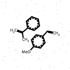 C=C(C)c1ccccc1.C=Cc1ccc(OC)cc1